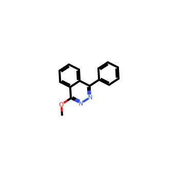 COc1nnc(-c2ccccc2)c2ccccc12